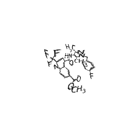 COC(=O)c1ccc2nc(C(F)(F)F)cc(C(=O)Nc3c(C)nn(Cc4ccc(F)cc4)c3C)c2c1